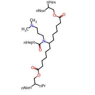 CCCCCCCCCC(CCC)COC(=O)CCCCCC(CCCCCC(=O)OCC(CCCCCC)CCCCCCCCC)N(CCCN(C)C)C(=O)CCCCCCC